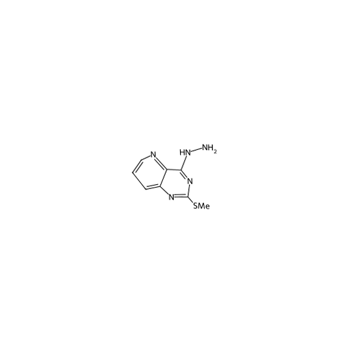 CSc1nc(NN)c2ncccc2n1